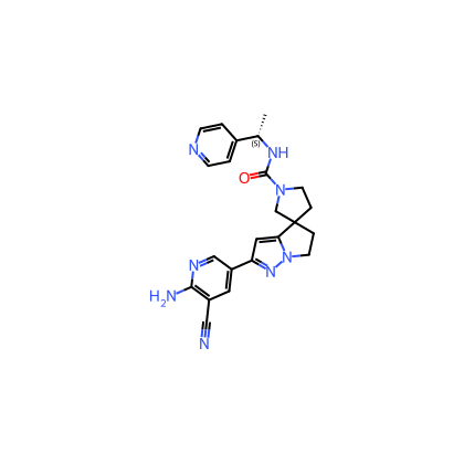 C[C@H](NC(=O)N1CCC2(CCn3nc(-c4cnc(N)c(C#N)c4)cc32)C1)c1ccncc1